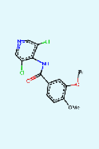 COc1ccc(C(=O)Nc2c(Cl)cncc2Cl)cc1OC(C)C